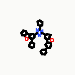 c1ccc(-c2ccc3oc4ccc(-c5nc(-c6ccccc6)nc(-c6cc(-c7ccccc7)c7oc8ccccc8c7c6)n5)cc4c3c2)cc1